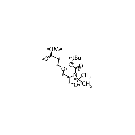 COC(=O)CCOCC1COC(C)(C)N1C(=O)OC(C)(C)C